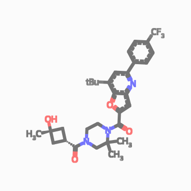 CC(C)(C)c1cc(-c2ccc(C(F)(F)F)cc2)nc2cc(C(=O)N3CCN(C(=O)[C@H]4C[C@@](C)(O)C4)CC3(C)C)oc12